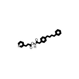 O=C(Cc1ccc(CCCCc2ccccc2)cc1)NOC(=O)CCc1cccnc1